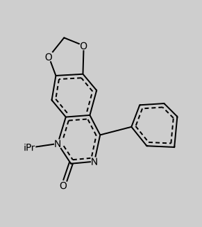 CC(C)n1c(=O)nc(-c2ccccc2)c2cc3c(cc21)OCO3